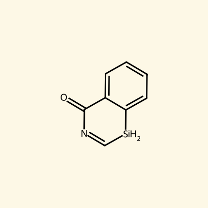 O=C1N=C[SiH2]c2ccccc21